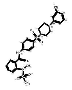 CN(c1ccccc1C(=O)Nc1ccc(S(=O)(=O)N2CCN(c3cccc(C#N)c3)CC2)cc1)S(C)(=O)=O